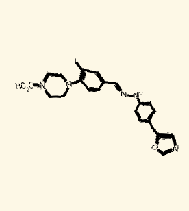 O=C(O)N1CCN(c2ccc(C=NNc3ccc(-c4cnco4)cc3)cc2I)CC1